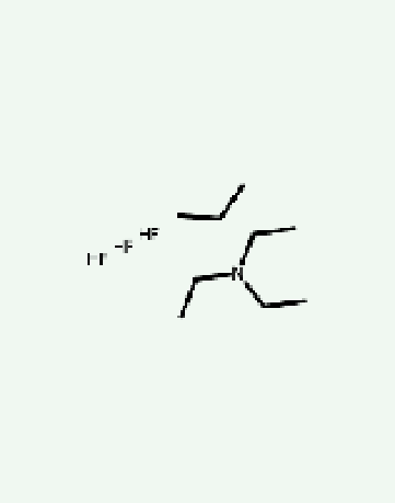 CCC.CCN(CC)CC.F.F.F